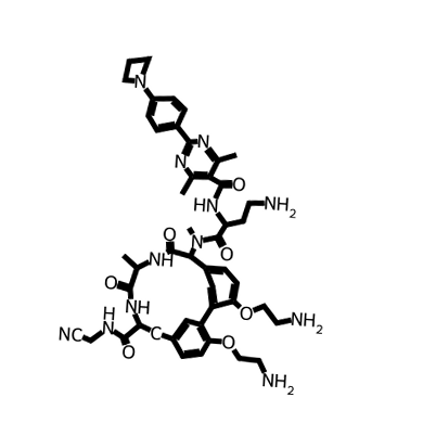 Cc1nc(-c2ccc(N3CCC3)cc2)nc(C)c1C(=O)NC(CCN)C(=O)N(C)C1C(=O)NC(C)C(=O)NC(C(=O)NCC#N)Cc2ccc(OCCN)c(c2)-c2cc1ccc2OCCN